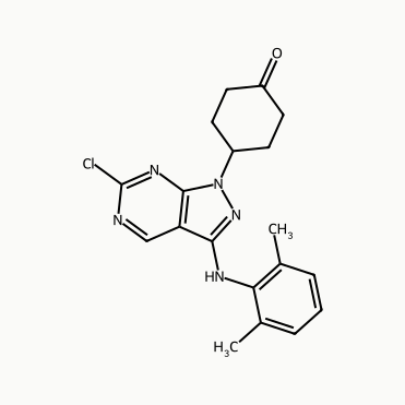 Cc1cccc(C)c1Nc1nn(C2CCC(=O)CC2)c2nc(Cl)ncc12